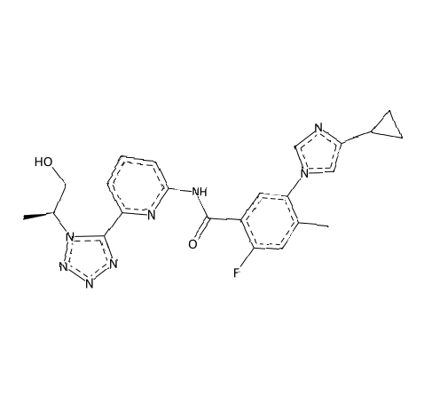 Cc1cc(F)c(C(=O)Nc2cccc(-c3nnnn3[C@@H](C)CO)n2)cc1-n1cnc(C2CC2)c1